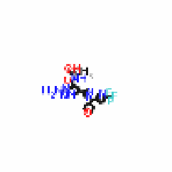 C[C@@H](CO)NC(=O)c1cc(-c2cnn(C(c3ccc(C(F)(F)F)nc3)C3CCOCC3)c2)c[nH]/c1=N\C(=N)N